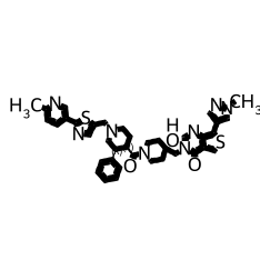 Cc1ccc(-c2ncc(CN3CC[C@@H](C(=O)N4CCC(O)(Cn5cnc6c(-c7cnn(C)c7)scc6c5=O)CC4)[C@H](c4ccccc4)C3)s2)cn1